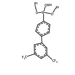 CO[Si](OC(C)C)(OC(C)C)c1ccc(-c2cc(C(F)(F)F)cc(C(F)(F)F)c2)cc1